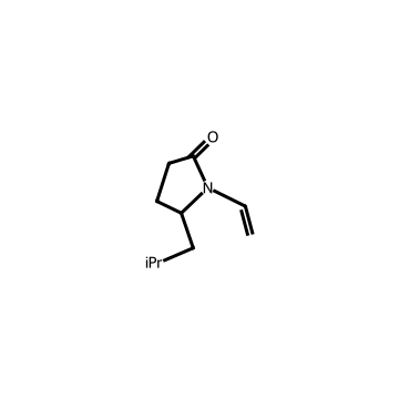 C=CN1C(=O)CCC1CC(C)C